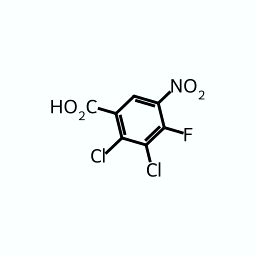 O=C(O)c1cc([N+](=O)[O-])c(F)c(Cl)c1Cl